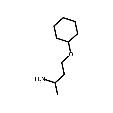 [CH2]C(N)CCOC1CCCCC1